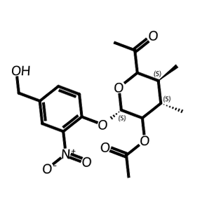 CC(=O)OC1[C@H](Oc2ccc(CO)cc2[N+](=O)[O-])OC(C(C)=O)[C@@H](C)[C@@H]1C